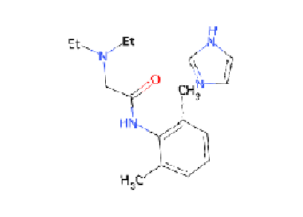 CCN(CC)CC(=O)Nc1c(C)cccc1C.c1c[nH]cn1